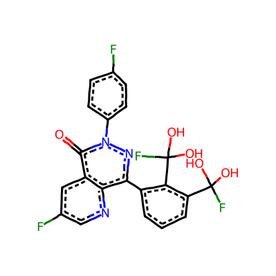 O=c1c2cc(F)cnc2c(-c2cccc(C(O)(O)F)c2C(O)(O)F)nn1-c1ccc(F)cc1